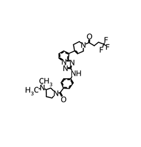 CN(C)C1CCN(C(=O)c2ccc(Nc3nc4c(C5=CCN(C(=O)CCC(F)(F)F)CC5)cccn4n3)cc2)C1